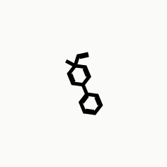 C=CC1(C)C=CC(c2ccccc2)C=C1